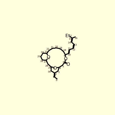 C/C=C1\CC2CC(=O)OC(/C=C/C=C\C=C(/C)CC)CCCCCC3CCCC(CC(C1)O2)O3